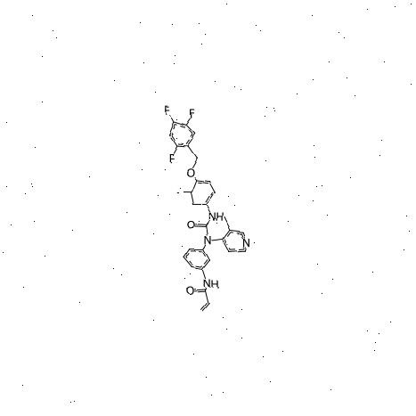 C=CC(=O)Nc1cccc(N(C(=O)NC2=CC=C(OCc3cc(F)c(F)cc3F)C(C)C2)c2ccncc2C)c1